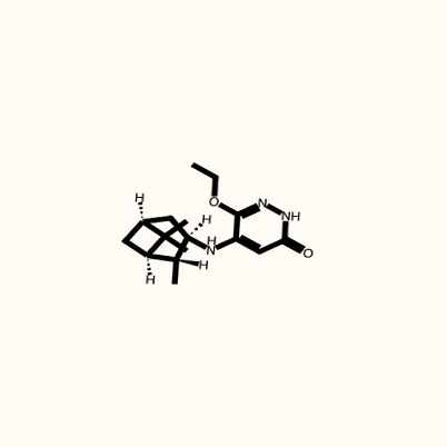 CCOc1n[nH]c(=O)cc1N[C@@H]1C[C@@H]2C[C@H]([C@H]1C)C2(C)C